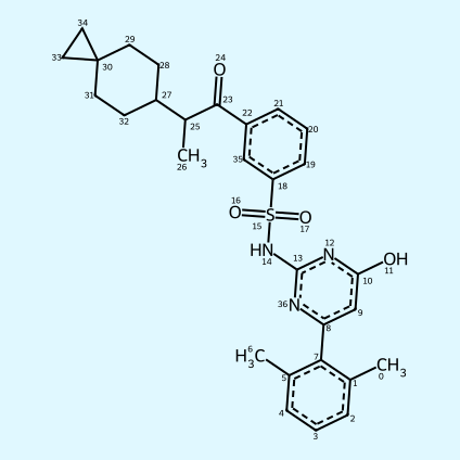 Cc1cccc(C)c1-c1cc(O)nc(NS(=O)(=O)c2cccc(C(=O)C(C)C3CCC4(CC3)CC4)c2)n1